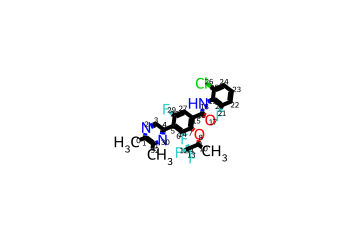 Cc1ncc(-c2cc(OC(C)C(F)(F)F)c(C(=O)Nc3c(F)cccc3Cl)cc2F)nc1C